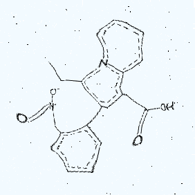 CCc1c(-c2ccccc2[N+](=O)[O-])c(C(=O)O)c2ccccn12